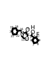 O=C1[C@H](C(O)c2ccccc2F)OCCN1Cc1ccccc1